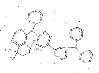 CC1(C)CCC(C)(C)c2c(N(c3ccccc3)c3ccc(-c4cccc(N(c5ccccc5)c5ccccc5)c4)cc3)cccc21